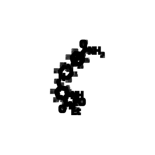 CCn1c(=O)[nH]c2cc(CN3CCN(C45CCC(C(N)=O)(CC4)CC5)CC3)ccc2c1=O